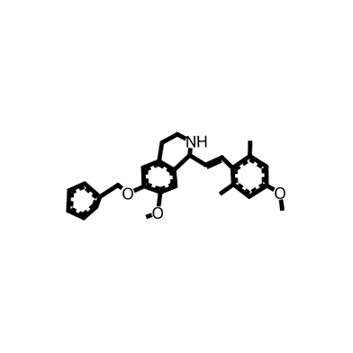 COc1cc(C)c(/C=C/C2NCCc3cc(OCc4ccccc4)c(OC)cc32)c(C)c1